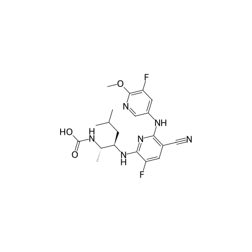 COc1ncc(Nc2nc(N[C@H](CC(C)C)[C@H](C)NC(=O)O)c(F)cc2C#N)cc1F